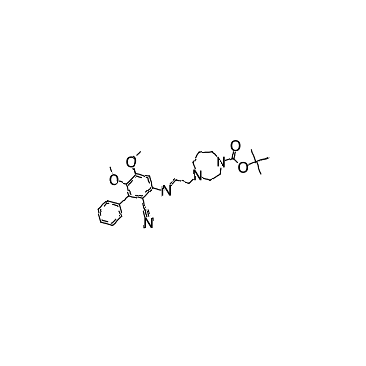 COc1cc(N=CCN2CCCN(C(=O)OC(C)(C)C)CC2)c(C#N)c(-c2ccccc2)c1OC